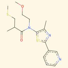 COCCN(C(=O)C(C)CSC)c1sc(-c2cccnc2)nc1C